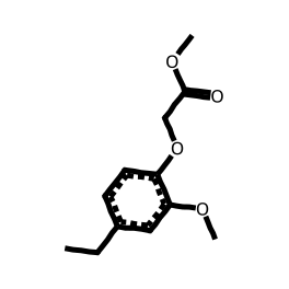 CCc1ccc(OCC(=O)OC)c(OC)c1